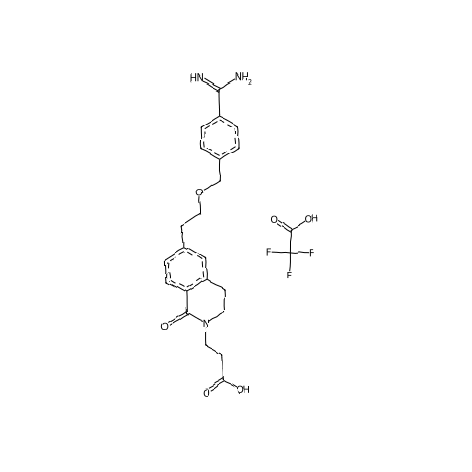 N=C(N)c1ccc(COCCc2ccc3c(c2)CCN(CCC(=O)O)C3=O)cc1.O=C(O)C(F)(F)F